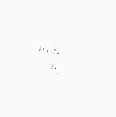 CC1(C)c2ccc(-c3ccc4c(c3)c3ccccc3n4-c3cccc4ccccc34)cc2N(c2cc(-c3ccccc3)cc(-c3ccccc3)c2)c2cc3ccccc3cc21